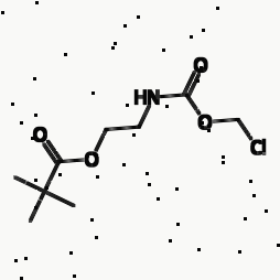 CC(C)(C)C(=O)OCCNC(=O)OCCl